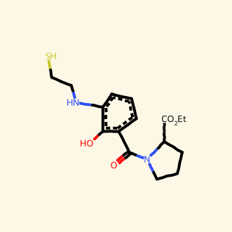 CCOC(=O)C1CCCN1C(=O)c1cccc(NCCS)c1O